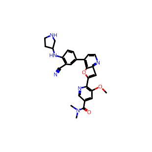 COc1cc(C(=O)N(C)C)cnc1-c1cc2nccc(-c3ccc(NC4CCNC4)c(C#N)c3)c2o1